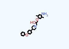 Cc1cc(OC[C@@H](O)CN2CCC(c3ccc(Oc4ccccc4)cc3)CC2)c(C)cc1N